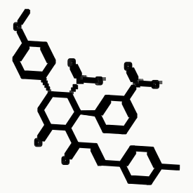 COc1ccc([C@H]2CC(=O)C(C(=O)/C=C/c3ccc(C)cc3)[C@H](c3cccc([N+](=O)[O-])c3)[C@H]2[N+](=O)[O-])cc1